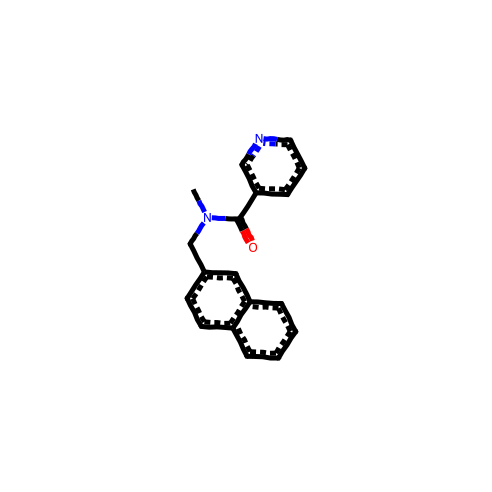 CN(Cc1ccc2ccccc2c1)C(=O)c1cccnc1